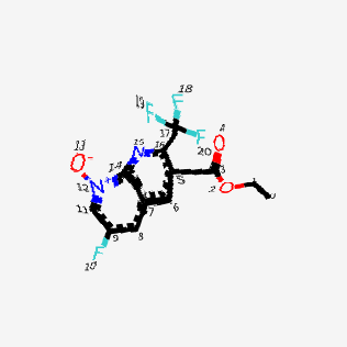 CCOC(=O)c1cc2cc(F)c[n+]([O-])c2nc1C(F)(F)F